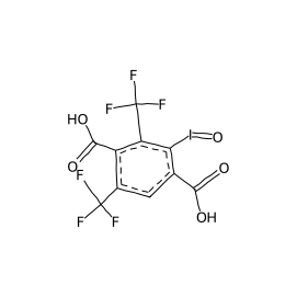 O=Ic1c(C(=O)O)cc(C(F)(F)F)c(C(=O)O)c1C(F)(F)F